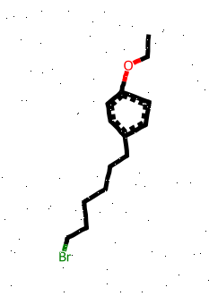 CCOc1ccc(CCCCCCBr)cc1